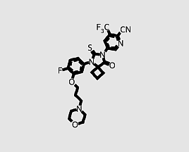 N#Cc1ncc(N2C(=O)C3(CCC3)N(c3ccc(F)c(OCCCN4CCOCC4)c3)C2=S)cc1C(F)(F)F